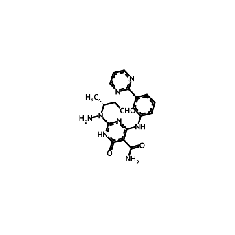 C[C@H](CC=O)N(N)c1nc(Nc2cccc(-c3ncccn3)c2)c(C(N)=O)c(=O)[nH]1